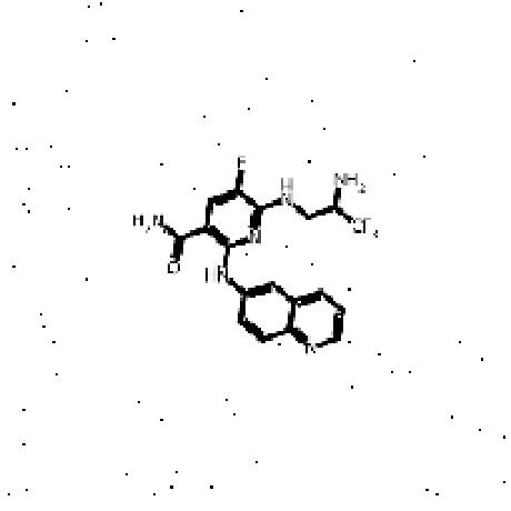 NC(=O)c1cc(F)c(NCC(N)C(F)(F)F)nc1Nc1ccc2ncccc2c1